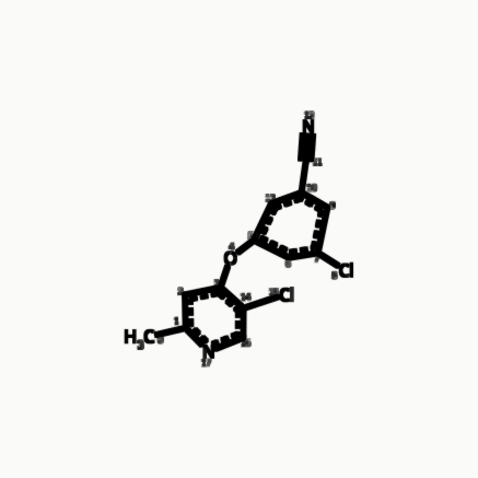 Cc1cc(Oc2cc(Cl)cc(C#N)c2)c(Cl)cn1